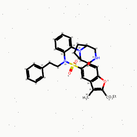 CCOC(=O)c1oc2ccc(S(=O)(=O)N(CCc3ccccc3)c3ccccc3N3C4CCC3CNC4)cc2c1C